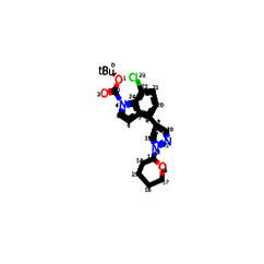 CC(C)(C)OC(=O)n1ccc2c(-c3cnn(C4CCCCO4)c3)ccc(Cl)c21